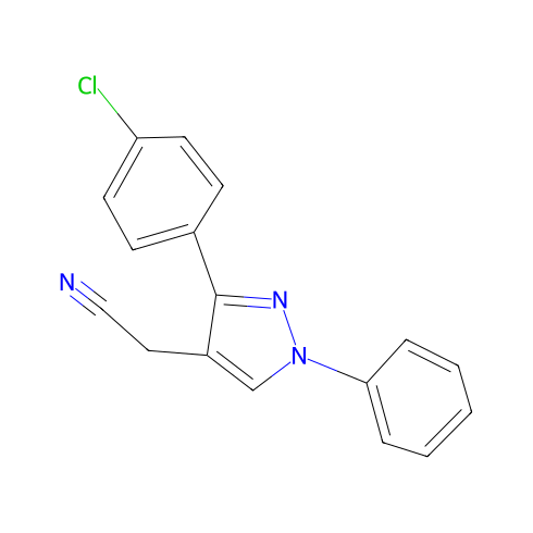 N#CCc1cn(-c2ccccc2)nc1-c1ccc(Cl)cc1